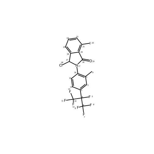 Cc1cc(C(F)(C(F)(F)F)C(F)(F)F)ccc1N1C(=O)c2c(I)cccc2C1Cl